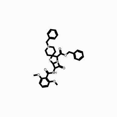 COc1cccc(OC)c1C(=O)NC1C(=O)N2C1SC1(CCN(Cc3ccccc3)CC1)C2C(=O)OCc1ccccc1